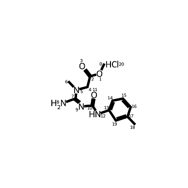 COC(=O)CN(C)/C(N)=N\C(=O)Nc1cccc(C)c1.Cl